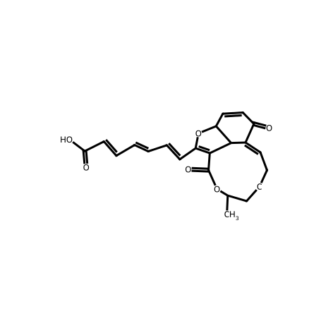 CC1CCC/C=C2/C(=O)C=CC3OC(/C=C/C=C/C=C/C(=O)O)=C(C(=O)O1)C23